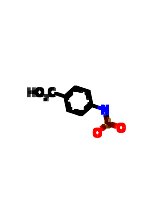 O=C(O)c1ccc(N=S(=O)=O)cc1